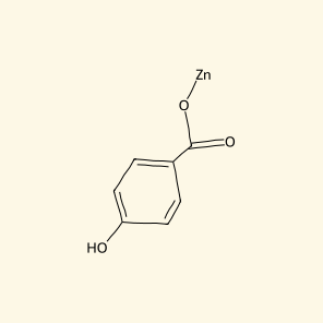 O=C([O][Zn])c1ccc(O)cc1